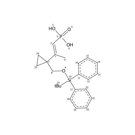 C/C(=C\P(=O)(O)O)C1(CO[Si](c2ccccc2)(c2ccccc2)C(C)(C)C)CC1